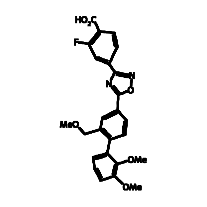 COCc1cc(-c2nc(-c3ccc(C(=O)O)c(F)c3)no2)ccc1-c1cccc(OC)c1OC